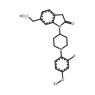 CCOc1ccc(N2CCC(N3C(=O)Cc4ccc(CC(=O)O)cc43)CC2)c(F)c1